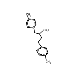 Cc1ccc(CCC(Cc2ccc(C)cc2)C(=O)O)cc1